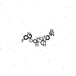 CCC(C(=O)Nc1ccc(-n2cncn2)cn1)[C@H]1[C@@H]2C[C@@H](Oc3ccnc4ccc(F)cc34)C[C@@H]21